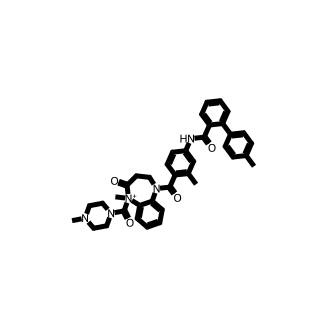 Cc1ccc(-c2ccccc2C(=O)Nc2ccc(C(=O)N3CCC(=O)[N+](C)(C(=O)N4CCN(C)CC4)c4ccccc43)c(C)c2)cc1